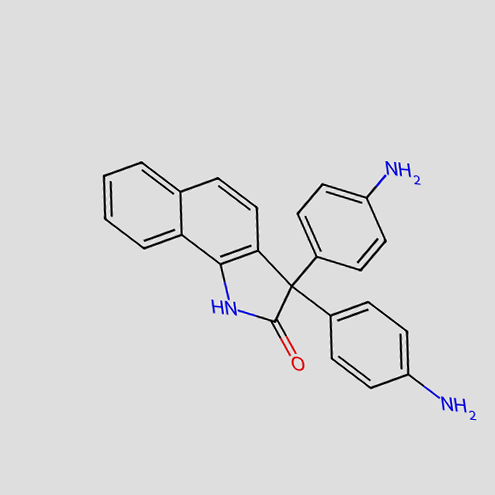 Nc1ccc(C2(c3ccc(N)cc3)C(=O)Nc3c2ccc2ccccc32)cc1